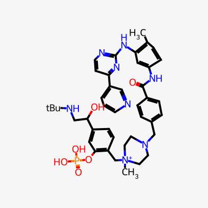 Cc1ccc(NC(=O)c2ccc(CN3CC[N+](C)(Cc4ccc(C(O)CNC(C)(C)C)cc4OP(=O)(O)O)CC3)cc2)cc1Nc1nccc(-c2cccnc2)n1